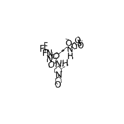 CCOc1cc(S(C)(=O)=O)ccc1NCC#Cc1cc(C(=O)N[C@H]2CCN(C3CCOCC3)C[C@@H]2C)c2ncn(CC(F)(F)F)c2c1